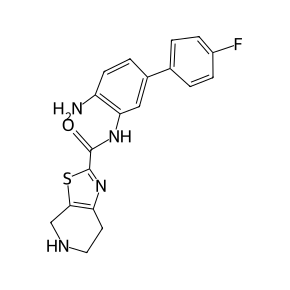 Nc1ccc(-c2ccc(F)cc2)cc1NC(=O)c1nc2c(s1)CNCC2